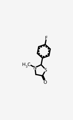 CN1CC(=O)SC1c1ccc(F)cc1